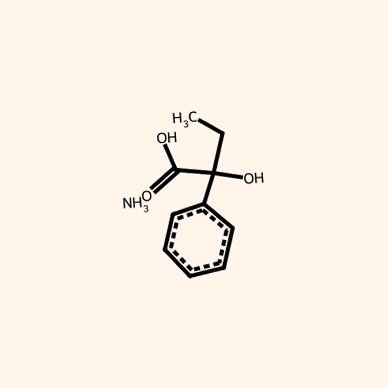 CCC(O)(C(=O)O)c1ccccc1.N